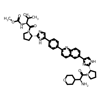 COC(=O)N[C@H](C(=O)N1CCC[C@H]1c1ncc(-c2ccc(-c3ccc4cc(-c5c[nH]c([C@@H]6CCCN6C(=O)[C@@H](N)C6CCOCC6)n5)ccc4n3)cc2)[nH]1)C(C)C